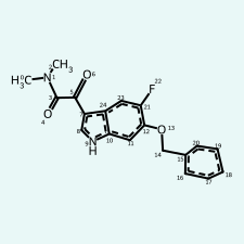 CN(C)C(=O)C(=O)c1c[nH]c2cc(OCc3ccccc3)c(F)cc12